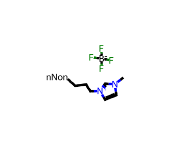 CCCCCCCCCCCC[n+]1ccn(C)c1.F[B-](F)(F)F